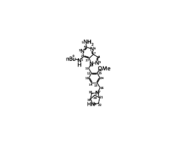 CCCCNc1nc(N)nc2cnn(Cc3ccc(CN4CC5CC4CN5)cc3OC)c12